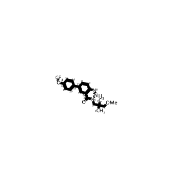 COCC(C)(C)Cn1nnc2ccc(-c3ccc(OC(F)(F)F)cc3)cc2c1=O